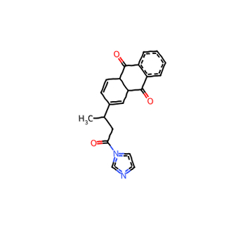 CC(CC(=O)n1ccnc1)C1=CC2C(=O)c3ccccc3C(=O)C2C=C1